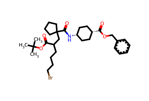 CC(C)(C)OC(=O)C(CCCCBr)CC1(C(=O)N[C@H]2CC[C@@H](C(=O)OCc3ccccc3)CC2)CCCC1